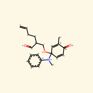 C=CCCC(C=O)COC1(N(C)c2ccccc2)C=CC(=O)C(C)=C1